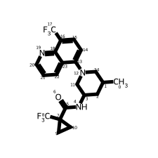 CC1CC(NC(=O)C2(C(F)(F)F)CC2)CN(c2ccc(C(F)(F)F)c3ncccc23)C1